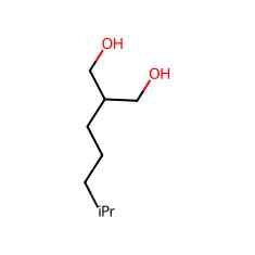 CC(C)CCCC(CO)CO